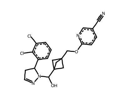 N#Cc1ccc(OCC23CC(C(O)N4N=CCC4c4cccc(Cl)c4Cl)(C2)C3)nc1